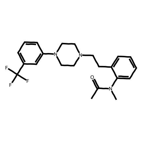 CC(=O)N(C)c1ccccc1CCN1CCN(c2cccc(C(F)(F)F)c2)CC1